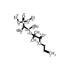 C=CCOC(=O)C(C)(C)ON(C(C(C)(C)C)P(=O)(OCC)OCC)C(C)(C)C